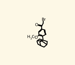 COc1cc(C(=O)CBr)ccc1C12CC3CC(CC(C3)C1)C2